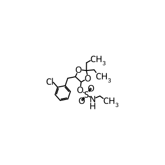 CCNS(=O)(=O)OC1OC(CC)(CC)OC1Cc1ccccc1Cl